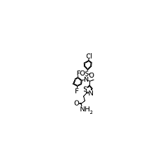 CC(c1cnc(CCC(N)=O)s1)N(c1cc(F)ccc1F)S(=O)(=O)c1ccc(Cl)cc1